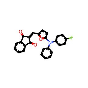 O=C1C(=Cc2ccc(N(c3ccccc3)c3ccc(F)cc3)o2)C(=O)c2ccccc21